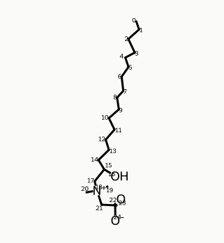 CCCCCCCCCCCCCCCC(O)C[N+](C)(C)CC(=O)[O-]